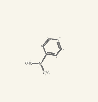 CN(C=O)c1ccncc1